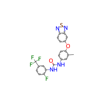 Cc1cc(NC(=O)Nc2cc(C(F)(F)F)ccc2F)ccc1Oc1ccc2nsnc2c1